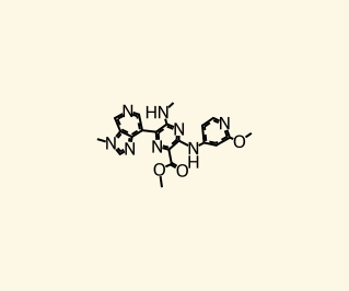 CNc1nc(Nc2ccnc(OC)c2)c(C(=O)OC)nc1-c1cncc2c1ncn2C